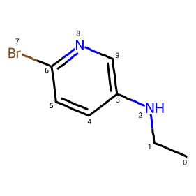 CCNc1ccc(Br)nc1